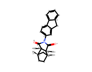 O=C1[C@@H]2[C@@H]3CC[C@@H](C3)[C@@H]2C(=O)N1c1ccc2c(c1)Cc1ccccc1-2